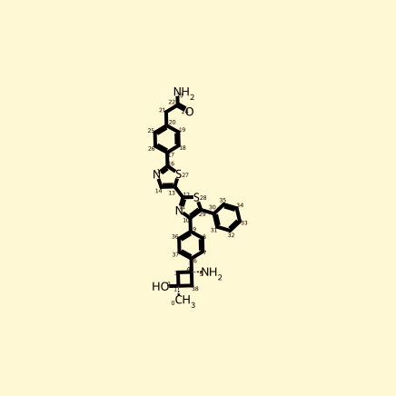 C[C@]1(O)C[C@@](N)(c2ccc(-c3nc(-c4cnc(-c5ccc(CC(N)=O)cc5)s4)sc3-c3ccccc3)cc2)C1